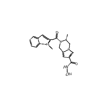 CC1Cn2cc(C(=O)NO)cc2CN1C(=O)c1cc2ccccc2n1C